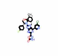 C[C@H]1CC[C@H](Cn2c(N3CCOC[C@H]3C3=CC=C(F)CC3)nc3nc(-c4n[nH]c(=O)o4)nc(-c4cncc(Cl)c4)c32)CC1